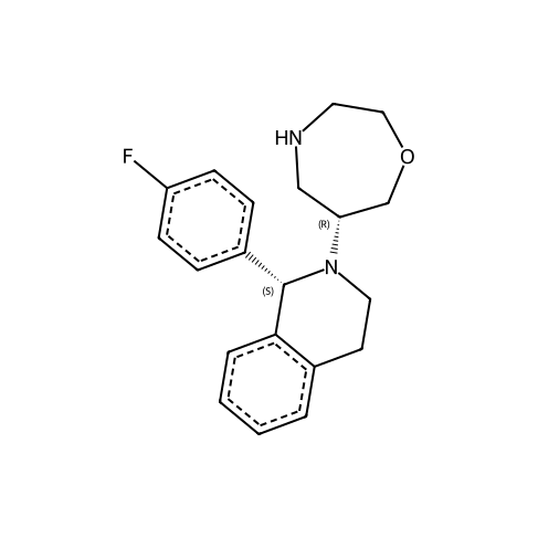 Fc1ccc([C@H]2c3ccccc3CCN2[C@@H]2CNCCOC2)cc1